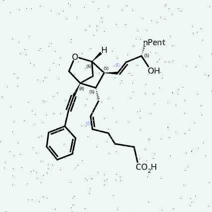 CCCCC[C@H](O)/C=C/[C@@H]1[C@@H]2C[C@@](C#Cc3ccccc3)(CO2)[C@H]1C/C=C\CCCC(=O)O